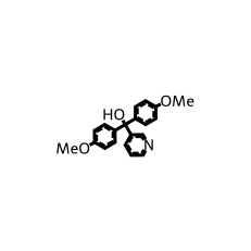 COc1ccc(C(O)(c2ccc(OC)cc2)c2cccnc2)cc1